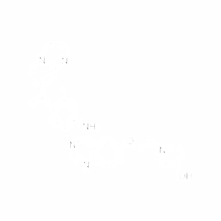 C=C(C1=CC2=NC=C=CN2C=C1)c1ccc(Nc2ncnc3ccc(OCCN4CCC(O)C4)cc23)cc1C